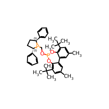 Cc1cc(C(C)(C)C)c2op(OCP3[C@H](c4ccccc4)CC[C@H]3c3ccccc3)oc3c(C(C)(C)C)cc(C)cc3c2c1